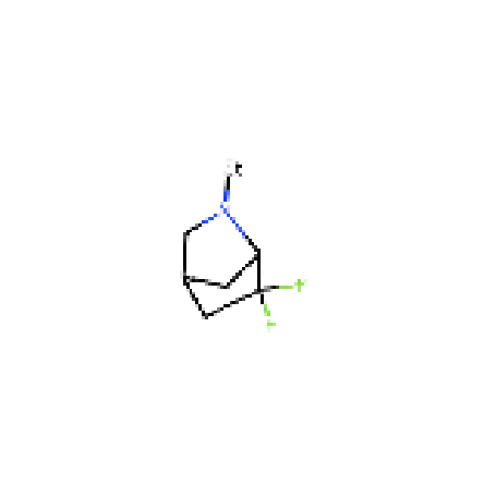 CCN1CC2CC1C(F)(F)C2